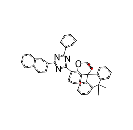 CC1(C)c2ccccc2C2(c3ccccc3Oc3c(-c4nc(-c5ccccc5)nc(-c5ccc6ccccc6c5)n4)cccc32)c2ccccc21